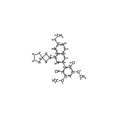 COc1cc(OC)c(Cl)c(-c2cc3cnc(SC)nc3c(N3CC4(CCCC4)C3)n2)c1Cl